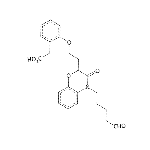 O=CCCCCN1C(=O)C(CCOc2ccccc2CC(=O)O)Oc2ccccc21